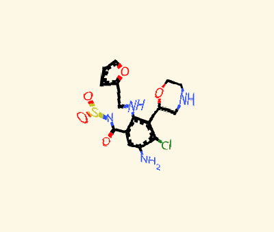 Nc1cc(C(=O)N=S(=O)=O)c(NCc2ccco2)c(C2CNCCO2)c1Cl